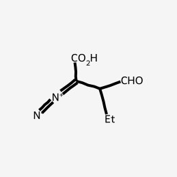 CCC(C=O)C(=[N+]=[N-])C(=O)O